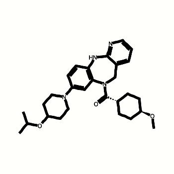 CO[C@H]1CC[C@H](C(=O)N2Cc3cccnc3Nc3ccc(N4CCC(OC(C)C)CC4)cc32)CC1